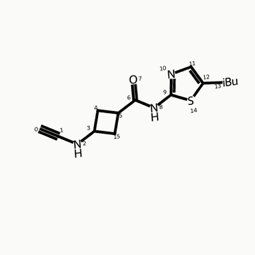 C#CNC1CC(C(=O)Nc2ncc(C(C)CC)s2)C1